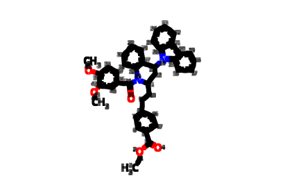 CCOC(=O)c1ccc(CCC2CC(n3c4ccccc4c4ccccc43)c3ccccc3N2C(=O)c2ccc(OC)c(OC)c2)cc1